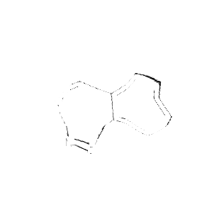 c1ccc2pnncc2c1